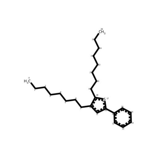 CCCCCCCCc1cc(-c2ccccc2)sc1CCCCCCCC